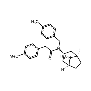 COc1ccc(CC(=O)N(Cc2ccc(C)cc2)[C@H]2C[C@H]3CC[C@@H](C2)N3C)cc1